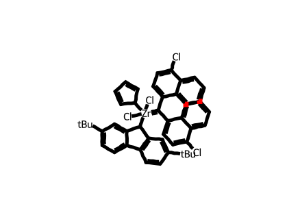 CC(C)(C)c1ccc2c(c1)[CH]([Zr]([Cl])([Cl])(=[C](c1ccc(Cl)c3ccccc13)c1ccc(Cl)c3ccccc13)[CH]1C=CC=C1)c1cc(C(C)(C)C)ccc1-2